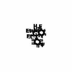 CCC(C(c1cccc(F)c1)c1cccc(F)c1)[C@H](N)CC